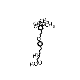 COc1cc(CCCOc2ccc(CCCNCCC(=O)O)cc2)cc(OC)c1OC